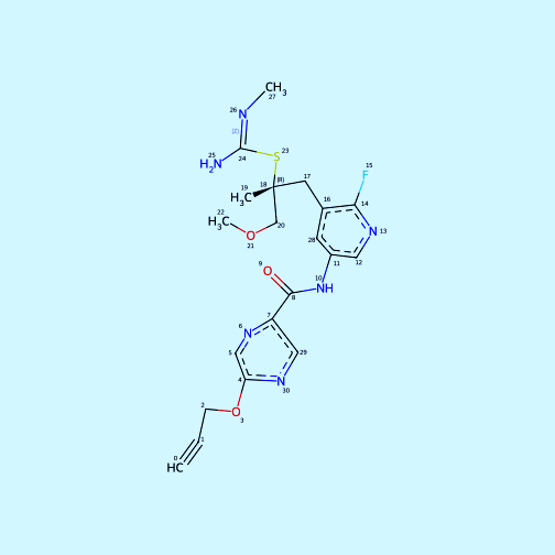 C#CCOc1cnc(C(=O)Nc2cnc(F)c(C[C@](C)(COC)S/C(N)=N\C)c2)cn1